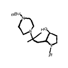 CCCCN1CCN(C(C)(C)CC2C(O)CCN2C(C)C)CC1